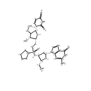 COC1[C@@H](O)[C@@H](COP(=O)(O[C@@H]2C[C@H](n3cnc4c(=O)[nH]c(N)nc43)O[C@@H]2CO)N2CCCC2)O[C@H]1n1ccc(=O)[nH]c1=O